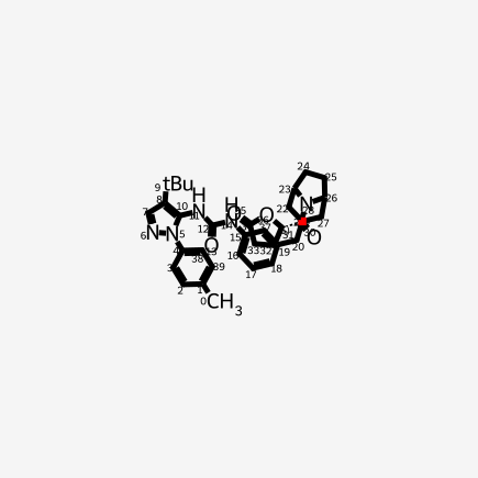 Cc1ccc(-n2ncc(C(C)(C)C)c2NC(=O)Nc2cccc(CC3CC4CCC(C3)N4C(=O)[C@@H]3CCC(=O)O3)c2)cc1